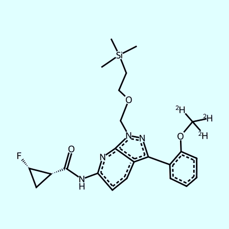 [2H]C([2H])([2H])Oc1ccccc1-c1nn(COCC[Si](C)(C)C)c2nc(NC(=O)[C@@H]3C[C@@H]3F)ccc12